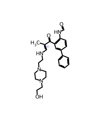 C/C(=C\NCCN1CCN(CCO)CC1)C(=O)c1cc(-c2ccccc2)ccc1NC=O